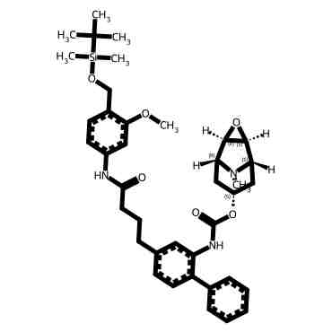 COc1cc(NC(=O)CCCc2ccc(-c3ccccc3)c(NC(=O)O[C@@H]3C[C@@H]4[C@H]5O[C@H]5[C@H](C3)N4C)c2)ccc1CO[Si](C)(C)C(C)(C)C